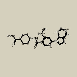 CNC(=O)[C@H]1CC[C@H](NC(=O)c2cnc(-n3ccc4cncnc43)cc2NC(C)C)CC1